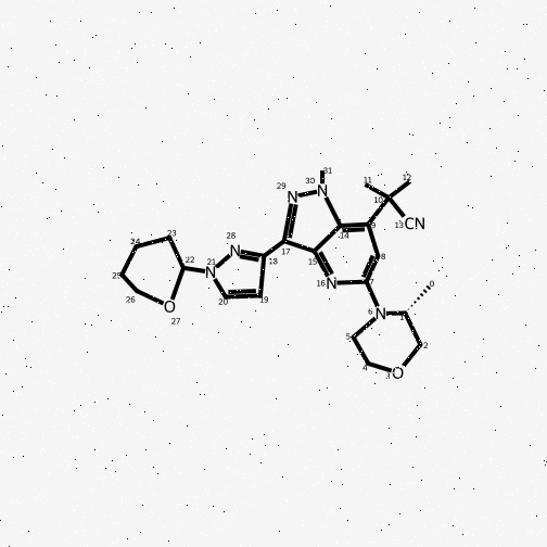 C[C@@H]1COCCN1c1cc(C(C)(C)C#N)c2c(n1)c(-c1ccn(C3CCCCO3)n1)nn2C